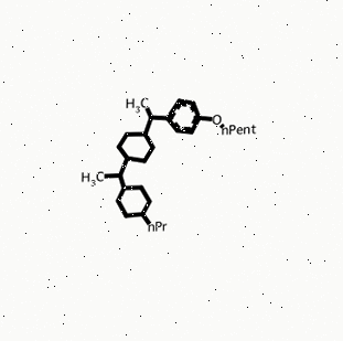 CCCCCOc1ccc(C(C)C2CCC(C(C)C3CCC(CCC)CC3)CC2)cc1